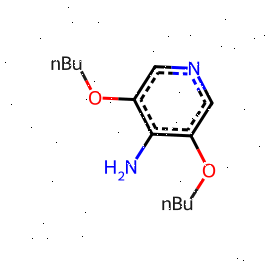 CCCCOc1cncc(OCCCC)c1N